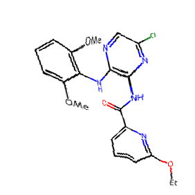 CCOc1cccc(C(=O)Nc2nc(Cl)cnc2Nc2c(OC)cccc2OC)n1